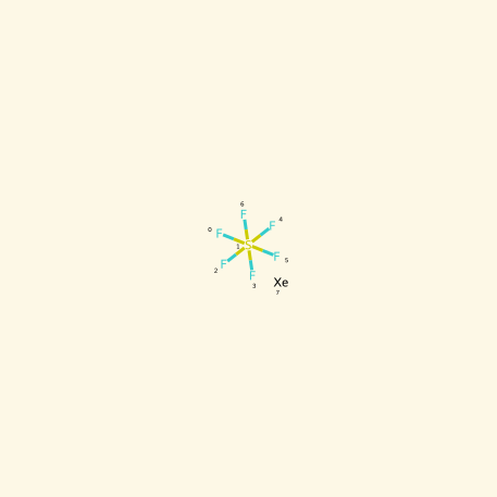 FS(F)(F)(F)(F)F.[Xe]